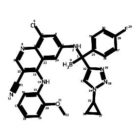 BC(Nc1cc(Cl)c2ncc(C#N)c(Nc3ccccc3OC)c2c1)(c1ccc(F)cc1)c1cn(C2CC2)nn1